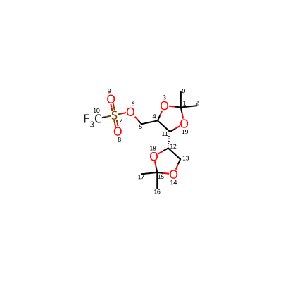 CC1(C)OC(COS(=O)(=O)C(F)(F)F)C([C@@H]2COC(C)(C)O2)O1